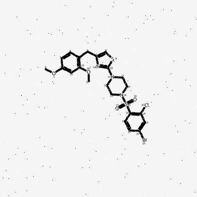 COc1ccc(Cc2csc(N3CCN(S(=O)(=O)c4ccc(Br)cc4Cl)CC3)n2)c(OC)c1